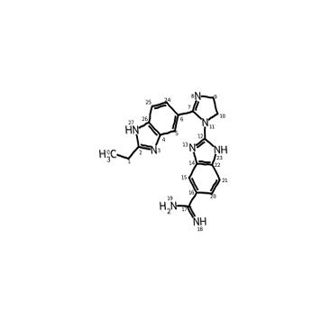 CCc1nc2cc(C3=NCCN3c3nc4cc(C(=N)N)ccc4[nH]3)ccc2[nH]1